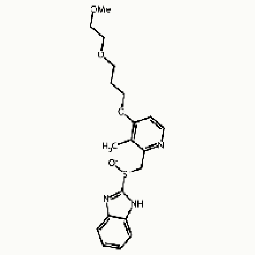 COCCOCCCOc1ccnc(C[S+]([O-])c2nc3ccccc3[nH]2)c1C